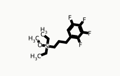 CC[Si](CC)(CCCc1cc(F)c(F)c(F)c1F)OC